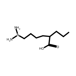 CCCC(CCCCN(N)N)C(=O)O